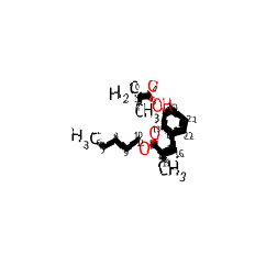 C=C(C)C(=O)O.CCCCCOC(=O)C(C)=Cc1ccccc1